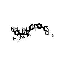 Cc1cc(-c2ccc(CN3CCC(O)(Cn4cnc5c(-c6ccc(CN)cc6)n(C)nc5c4=O)CC3)c(F)c2)ccn1